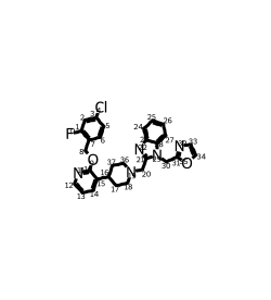 Fc1cc(Cl)ccc1COc1ncccc1C1CCN(Cc2nc3ccccc3n2Cc2ncco2)CC1